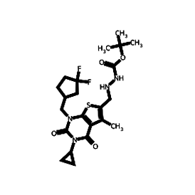 Cc1c(CNNC(=O)OC(C)(C)C)sc2c1c(=O)n(C1CC1)c(=O)n2CC1CCC(F)(F)C1